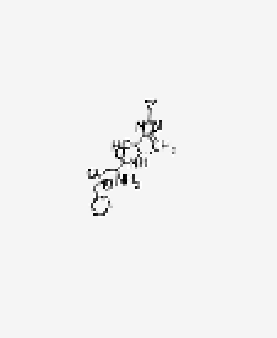 CC[C@H](NC(=O)C(N)CS(=O)(=O)Cc1ccccc1)C(O)c1nc(C2CC2)no1